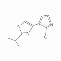 CC(C)C1=NC(n2ccnc2Cl)=C[N]1